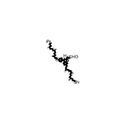 CC(C)CCC[C@@H](C)CCC[C@@H](C)CCCC(C)CCOc1ccc(C(NC(=O)CC[C]=O)c2ccc(CCC(C)CCC[C@H](C)CCC[C@H](C)CCCC(C)C)cc2)cc1